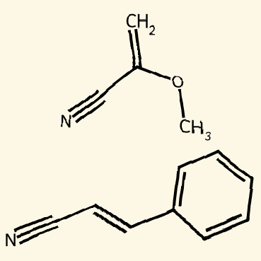 C=C(C#N)OC.N#CC=Cc1ccccc1